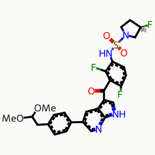 COC(Cc1ccc(-c2cnc3[nH]cc(C(=O)c4c(F)ccc(NS(=O)(=O)N5CC[C@@H](F)C5)c4F)c3c2)cc1)OC